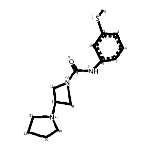 CSc1cccc(NC(=O)N2CC(N3CCCC3)C2)c1